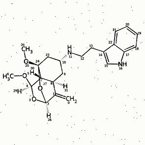 C=C1[C@H]2O[C@@H](OC)[C@H]3[C@H]1C[C@@H](NCCc1c[nH]c4ccccc14)C[C@@]3(OC)O2